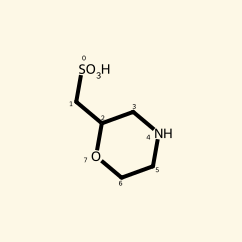 O=S(=O)(O)CC1CNCCO1